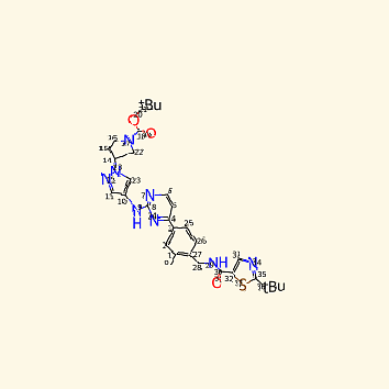 Cc1cc(-c2ccnc(Nc3cnn(C4CCN(C(=O)OC(C)(C)C)C4)c3)n2)ccc1CNC(=O)c1cnc(C(C)(C)C)s1